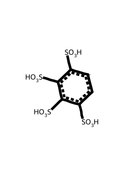 O=S(=O)(O)c1[c]cc(S(=O)(=O)O)c(S(=O)(=O)O)c1S(=O)(=O)O